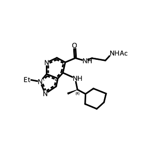 CCn1ncc2c(N[C@H](C)C3CCCCC3)c(C(=O)NCCNC(C)=O)cnc21